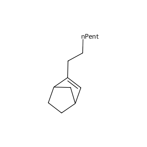 CCCCCCCC1=CC2CCC1C2